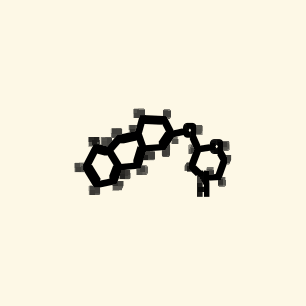 [c]1c(OC2CNCCO2)ccc2cc3ccccc3cc12